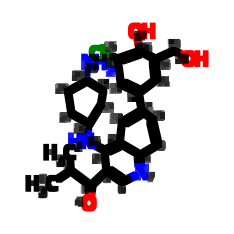 CC(C)C(=O)c1cnc2ccc(-c3cc(Cl)c(O)c(CO)c3)cc2c1N[C@H]1CC[C@H](N)CC1